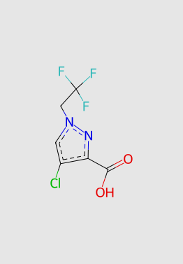 O=C(O)c1nn(CC(F)(F)F)cc1Cl